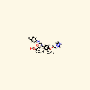 COc1cc(/C=C/C(=NC2CCC(C)CC2)OC(C(=O)O)C(O)C(=O)O)ccc1OCCn1ccnc1